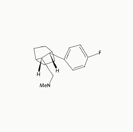 CNC[C@@H]1C2CCC(CC2)[C@@H]1c1ccc(F)cc1